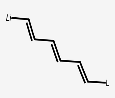 [Li][CH]=CC=CC=[CH][Li]